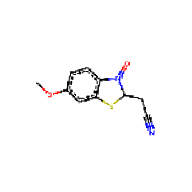 COc1ccc2c(c1)SC(CC#N)[N+]2=O